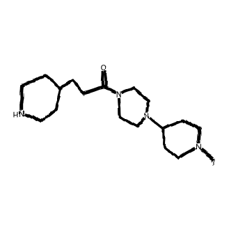 O=C(CCC1CCNCC1)N1CCN(C2CCN(I)CC2)CC1